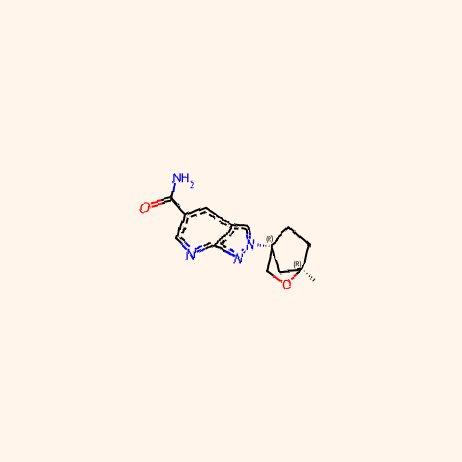 C[C@]12CC[C@](n3cc4cc(C(N)=O)cnc4n3)(CO1)C2